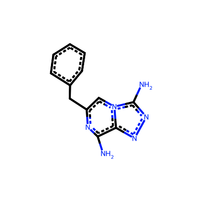 Nc1nc(Cc2ccccc2)cn2c(N)nnc12